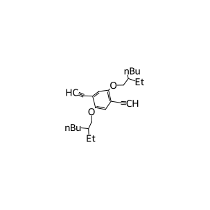 C#Cc1cc(OCC(CC)CCCC)c(C#C)cc1OCC(CC)CCCC